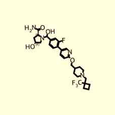 NC(=O)[C@@H]1C[C@@H](O)CN1C(O)c1ccc(-c2ccc(OCC3CCN(CC4(C(F)(F)F)CCC4)CC3)nc2)c(F)c1